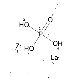 O=P(O)(O)O.[La].[Zr]